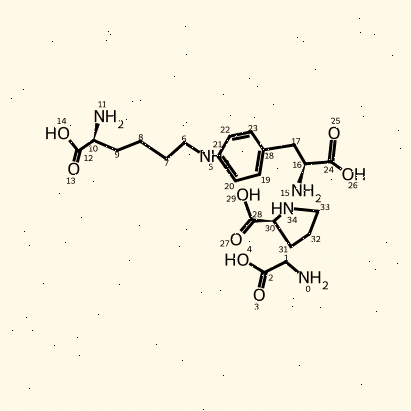 NCC(=O)O.NCCCC[C@H](N)C(=O)O.N[C@@H](Cc1ccccc1)C(=O)O.O=C(O)[C@@H]1CCCN1